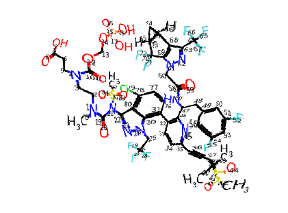 CN(CCN(CCC(=O)O)C(=O)OCOP(=O)(O)O)C(=O)N(c1nn(CC(F)(F)F)c2c(-c3ccc(C#CC(C)(C)S(C)(=O)=O)nc3C(Cc3cc(F)cc(F)c3)NC(=O)Cn3nc(C(F)(F)F)c4c3C(F)(F)[C@@H]3C[C@H]43)ccc(Cl)c12)S(C)(=O)=O